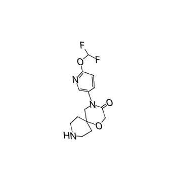 O=C1COC2(CCNCC2)CN1c1ccc(OC(F)F)nc1